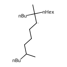 CCCCCCC(C)([CH]CCCC(C)CCCC)CCCC